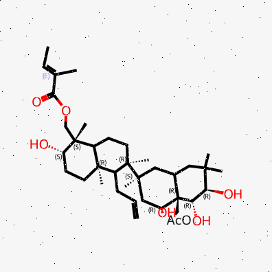 C=CCC1[C@@]2(C)CC[C@H](O)[C@](C)(COC(=O)/C(C)=C/C)C2CC[C@@]1(C)[C@@]1(C)CC2CC(C)(C)[C@@H](O)[C@H](O)[C@]2(COC(C)=O)[C@H](O)C1